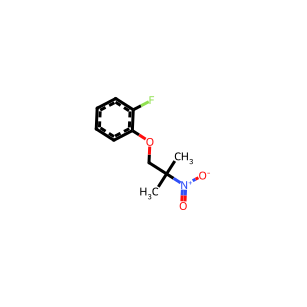 CC(C)(COc1ccccc1F)[N+](=O)[O-]